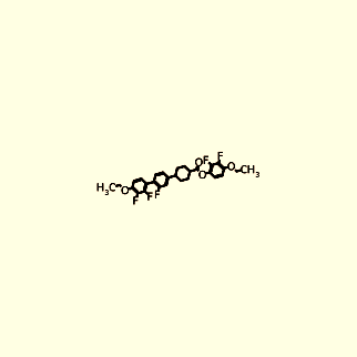 CCOc1ccc(OC(=O)C2CCC(c3ccc(-c4ccc(OCC)c(F)c4F)c(F)c3)CC2)c(F)c1F